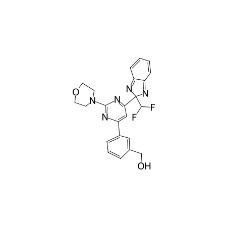 OCc1cccc(-c2cc(C3(C(F)F)N=c4ccccc4=N3)nc(N3CCOCC3)n2)c1